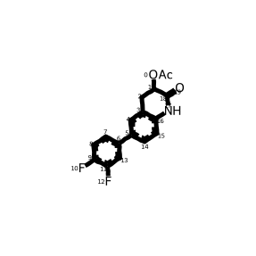 CC(=O)OC1Cc2cc(-c3ccc(F)c(F)c3)ccc2NC1=O